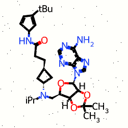 CC(C)N(C[C@H]1O[C@@H](n2cnc3c(N)ncnc32)[C@@H]2OC(C)(C)O[C@@H]21)[C@H]1C[C@H](CCC(=O)NC2C=CC(C(C)(C)C)=C2)C1